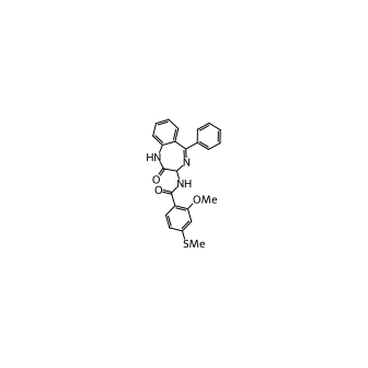 COc1cc(SC)ccc1C(=O)NC1N=C(c2ccccc2)c2ccccc2NC1=O